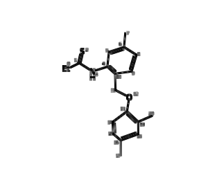 CCC(=S)Nc1cc(C)ccc1COc1ccc(C)cc1C